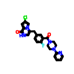 O=C(c1cc(Cc2c[nH]c(=O)c3cc(Cl)cn23)ccc1F)N1CCN(c2ccccn2)CC1